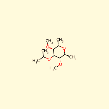 CO[C@@H]1C(OC(C)C)[C@@H](OC)[C@H](C)O[C@H]1C